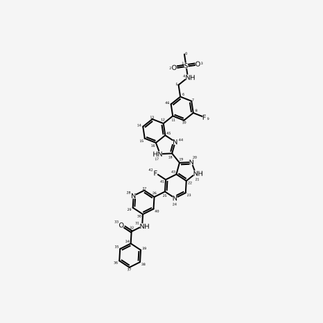 CS(=O)(=O)NCc1cc(F)cc(-c2cccc3[nH]c(-c4n[nH]c5cnc(-c6cncc(NC(=O)c7ccccc7)c6)c(F)c45)nc23)c1